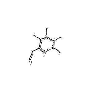 Cc1nc(C=O)c(C)c(C)c1C